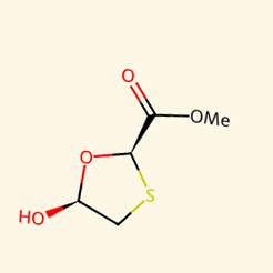 COC(=O)[C@@H]1O[C@H](O)CS1